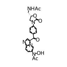 CC(=O)NC[C@H]1CN(c2ccc(C(=O)c3cnc4ccc(N(O)C(C)=O)cn34)cc2)C(=O)O1